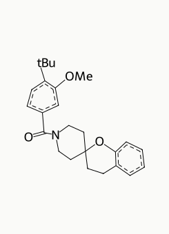 COc1cc(C(=O)N2CCC3(CCc4ccccc4O3)CC2)ccc1C(C)(C)C